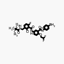 Bc1ccc(NC(=O)c2cc(NC(=O)c3c(F)ccc(CNC(=O)C(C)(C)C)c3Cl)ccc2OCC(F)F)cc1